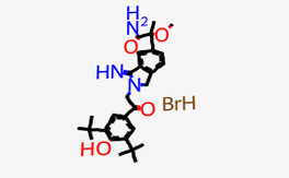 Br.COC(C)(C(N)=O)c1ccc2c(c1)C(=N)N(CC(=O)c1cc(C(C)(C)C)c(O)c(C(C)(C)C)c1)C2